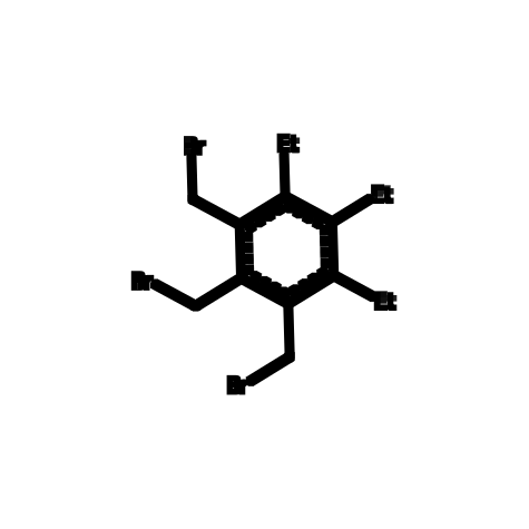 CCc1c(CC)c(CBr)c(CBr)c(CBr)c1CC